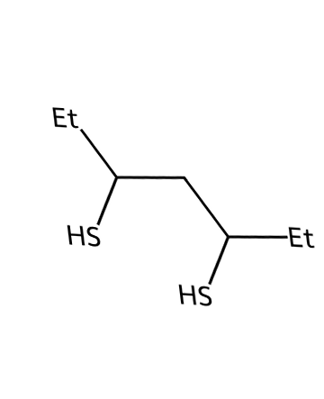 CCC(S)CC(S)CC